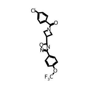 O=C(c1ccc(Cl)cc1)N1CC(c2nc(-c3ccc(OC(F)(F)F)cc3)no2)C1